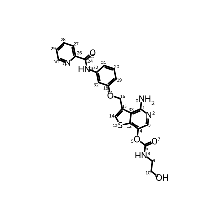 Nc1ncc(OC(=O)NCCO)c2scc(COc3cccc(NC(=O)c4ccccn4)c3)c12